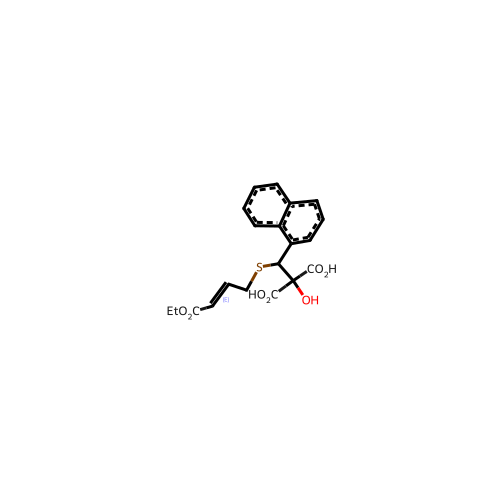 CCOC(=O)/C=C/CSC(c1cccc2ccccc12)C(O)(C(=O)O)C(=O)O